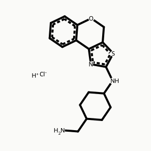 NCC1CCC(Nc2nc3c(s2)COc2ccccc2-3)CC1.[Cl-].[H+]